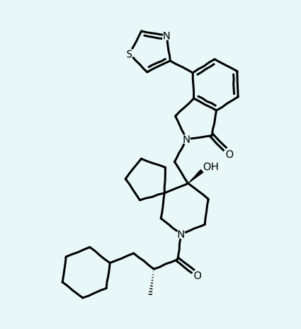 C[C@H](CC1CCCCC1)C(=O)N1CC[C@@](O)(CN2Cc3c(cccc3-c3cscn3)C2=O)C2(CCCC2)C1